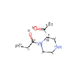 CCC(=O)[C@@H]1CNCCN1C(=O)CC(C)C